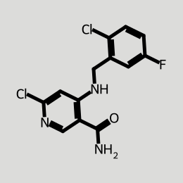 NC(=O)c1cnc(Cl)cc1NCc1cc(F)ccc1Cl